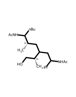 CCCCC(NC(C)=O)[C@@H](C)CC(CC(NC(C)=O)C(C)C)[C@H](C)CO